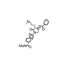 CNC(=O)c1ccc2nc(N3CCN(OC(=O)c4ccccc4)C(CCCN(C)C)C3=O)cn2c1